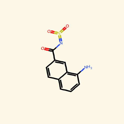 Nc1cccc2ccc(C(=O)N=S(=O)=O)cc12